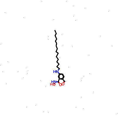 CCCCCCCCCCCCCCCCNc1ccc([C]=O)c(C(=O)NO)c1